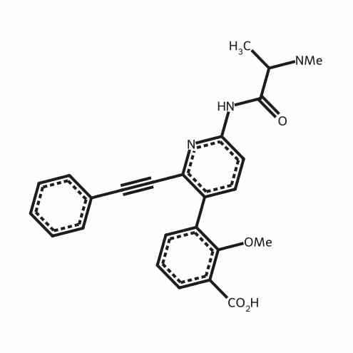 CNC(C)C(=O)Nc1ccc(-c2cccc(C(=O)O)c2OC)c(C#Cc2ccccc2)n1